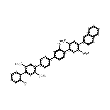 CCOC(=O)c1cc(-c2ccccc2Cl)c(C(=O)OCC)cc1-c1ccc(-c2ccc(-c3cc(C(=O)OCC)c(-c4ccc5ccccc5c4)cc3C(=O)OCC)c(Cl)c2)cc1